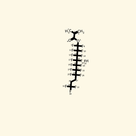 C=C(C)C(=O)OC(F)(F)C(F)(F)C(F)(F)C(F)(F)C(F)(F)C(F)(F)C(F)(F)CCC(F)(F)F.F